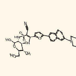 C/C(=C(/C#N)S(=O)(=O)N[C@H]1C(O)O[C@H](CO)[C@@H](O)[C@@H]1O)c1ccc(-c2ccc3cc(N4CCOCC4)ccc3c2)o1